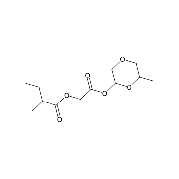 CCC(C)C(=O)OCC(=O)OC1COCC(C)O1